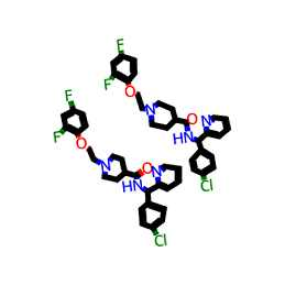 O=C(NC(c1ccc(Cl)cc1)c1ccccn1)C1CCN(CCOc2ccc(F)cc2F)CC1.O=C(NC(c1ccc(Cl)cc1)c1ccccn1)C1CCN(CCOc2ccc(F)cc2F)CC1